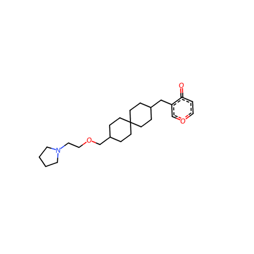 O=c1ccocc1CC1CCC2(CCC(COCCN3CCCC3)CC2)CC1